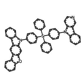 c1ccc([Si](c2ccccc2)(c2ccc(-n3c4ccccc4c4cnccc43)cc2)c2ccc(-n3c4ccccc4c4cc5c(cc43)oc3ccccc35)cc2)cc1